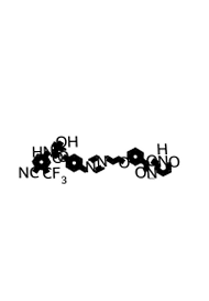 CN(C(=O)Cc1cccc(OCCCN2CCN(Cc3ccc(OCC(C)(O)C(=O)Nc4ccc(C#N)c(C(F)(F)F)c4)cc3)CC2)c1)C1CCC(=O)NC1=O